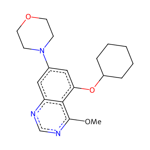 COc1ncnc2cc(N3CCOCC3)cc(OC3CCCCC3)c12